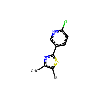 CCc1sc(-c2ccc(Cl)nc2)nc1C=O